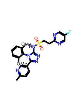 COc1cccc(OC)c1-n1c(NS(=O)(=O)CCc2ncc(F)cn2)nnc1-c1ccc(C)nc1